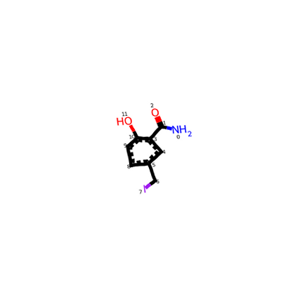 NC(=O)c1cc(CI)ccc1O